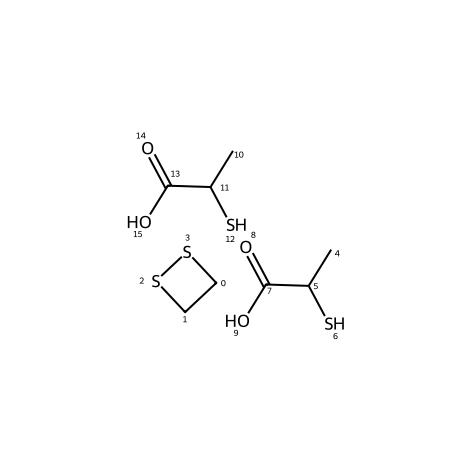 C1CSS1.CC(S)C(=O)O.CC(S)C(=O)O